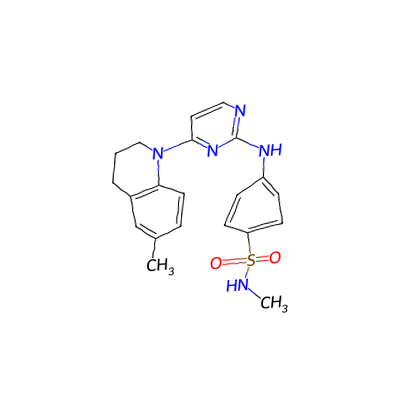 CNS(=O)(=O)c1ccc(Nc2nccc(N3CCCc4cc(C)ccc43)n2)cc1